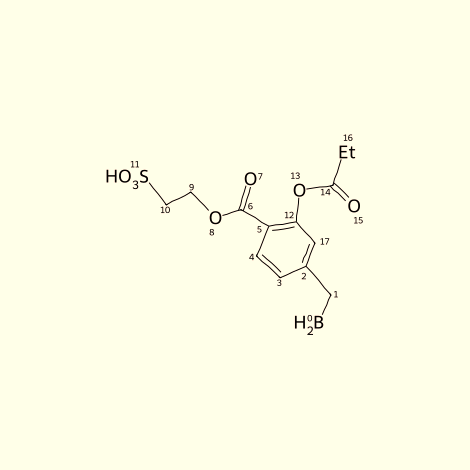 BCc1ccc(C(=O)OCCS(=O)(=O)O)c(OC(=O)CC)c1